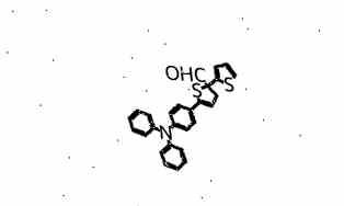 O=CC1(c2cccs2)CC=C(c2ccc(N(c3ccccc3)c3ccccc3)cc2)S1